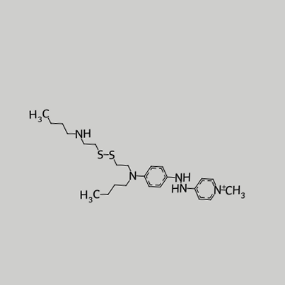 CCCCNCCSSCCN(CCCC)c1ccc(NNc2cc[n+](C)cc2)cc1